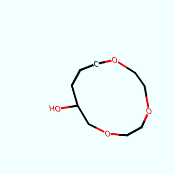 OC1CCCOCCOCCOC1